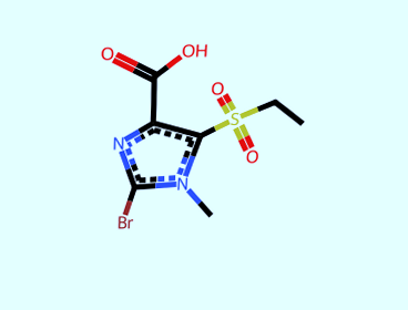 CCS(=O)(=O)c1c(C(=O)O)nc(Br)n1C